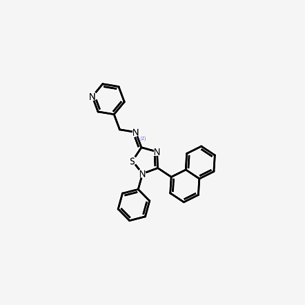 c1ccc(-n2s/c(=N\Cc3cccnc3)nc2-c2cccc3ccccc23)cc1